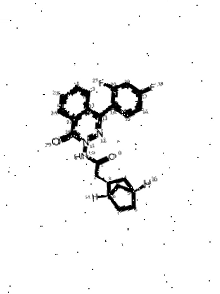 O=C(C[C@H]1C[C@@H]2CC[C@H]1C2)Nn1nc(-c2ccc(F)cc2F)c2ccccc2c1=O